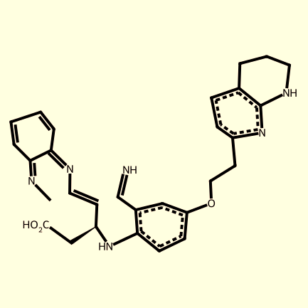 C/N=C1/C=CC=C/C1=N/C=C/[C@H](CC(=O)O)Nc1ccc(OCCc2ccc3c(n2)NCCC3)cc1C=N